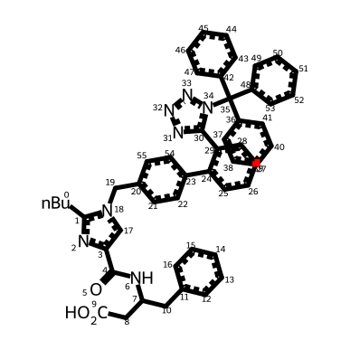 CCCCc1nc(C(=O)NC(CC(=O)O)Cc2ccccc2)cn1Cc1ccc(-c2ccccc2-c2nnnn2C(c2ccccc2)(c2ccccc2)c2ccccc2)cc1